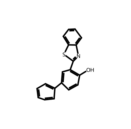 Oc1ccc(-c2ccccc2)cc1-c1nc2ccccc2s1